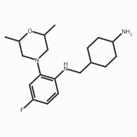 CC1CN(c2cc(F)ccc2NCC2CCC(N)CC2)CC(C)O1